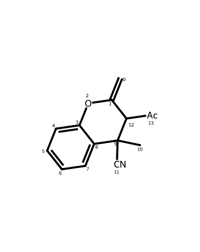 C=C1Oc2ccccc2C(C)(C#N)C1C(C)=O